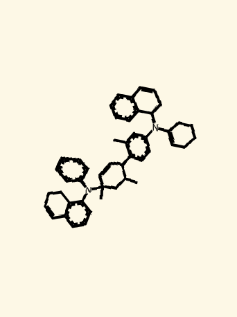 Cc1cc(N(C2=CCCCC2)C2CC=Cc3ccccc32)ccc1C1C=CC(C)(N(c2ccccc2)c2cccc3c2CCC=C3)CC1C